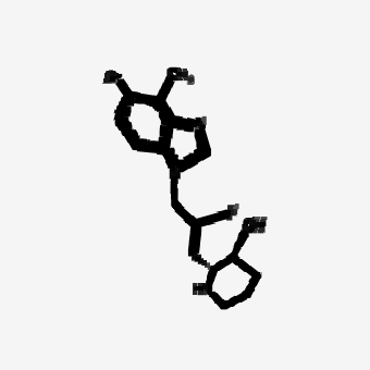 Cc1c(Br)ccc2c1ncn2C/C(F)=C/[C@H]1NCCC[C@@H]1O